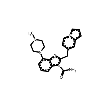 CN1CCN(c2cccc3c2nc(Cc2ccn4cccc4c2)n3C(N)=O)CC1